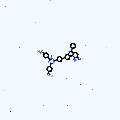 Cc1ccc(C2=NC(c3ccc(-c4ccc5c6c(c(-c7ccccc7)nc5c4)C=CC(=N)C6=N)cc3)NC(c3ccc(C)cc3)=N2)cc1